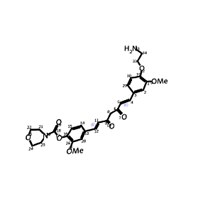 COc1cc(/C=C/C(=O)CC(=O)/C=C/c2ccc(OC(=O)N3CCOCC3)c(OC)c2)ccc1OCCN